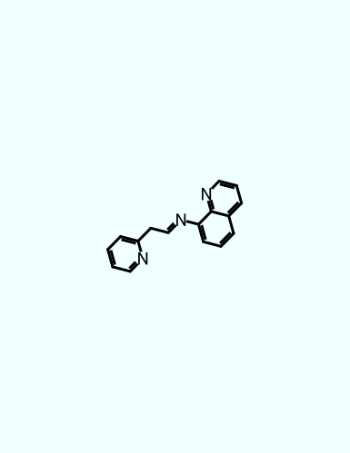 C(Cc1ccccn1)=Nc1cccc2cccnc12